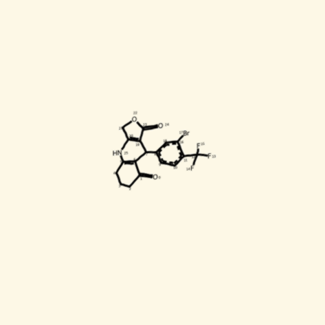 O=C1CCCC2=C1C(c1ccc(C(F)(F)F)c(Br)c1)C1=C(COC1=O)N2